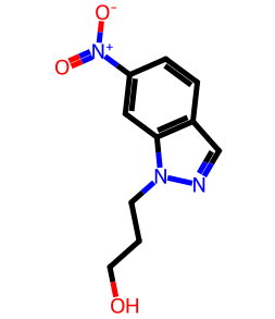 O=[N+]([O-])c1ccc2cnn(CCCO)c2c1